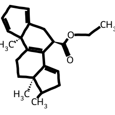 CCOC(=O)[C@@H]1CC2=CCC=C[C@]2(C)C2=C1C1=CCC(C)[C@@]1(C)CC2